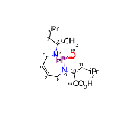 CC(C)CC(C)N1CC=CCN(C(CC(C)C)C(=O)O)[PH]1=O